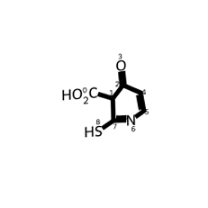 O=C(O)C1C(=O)C=CN=C1S